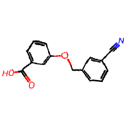 N#Cc1cccc(COc2cccc(C(=O)O)c2)c1